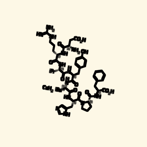 CC[C@H](C)[C@H](NC(=O)[C@H](Cc1ccc(O)cc1)NC(=O)[C@@H](NC(=O)[C@H](CCCNC(=N)N)NC(=O)[C@@H](N)CC(=O)O)C(C)C)C(=O)N[C@@H](Cc1cnc[nH]1)C(=O)N1CCC[C@H]1C(=O)N[C@@H](Cc1ccccc1)C(=O)O.[CaH2]